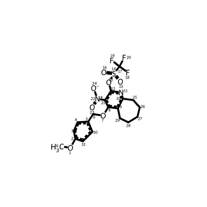 COc1ccc(COc2c3c(nc(OS(=O)(=O)C(F)(F)F)c2[N+](=O)[O-])CCCCC3)cc1